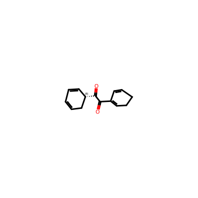 O=C(C(=O)[C@H]1C=CC=CC1)C1=CCCC=C1